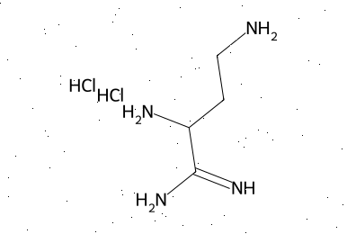 Cl.Cl.N=C(N)C(N)CCN